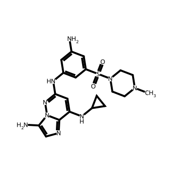 CN1CCN(S(=O)(=O)c2cc(N)cc(Nc3cc(NC4CC4)c4ncc(N)n4n3)c2)CC1